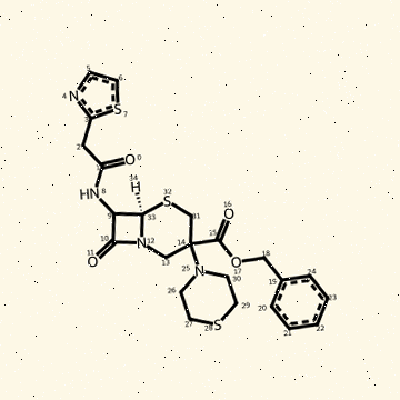 O=C(Cc1nccs1)NC1C(=O)N2CC(C(=O)OCc3ccccc3)(N3CCSCC3)CS[C@H]12